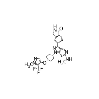 CNc1cc2c(cn1)c(-c1ccc3c(c1)CNC3=O)nn2[C@H]1CC[C@@H](Oc2cnn(C)c2C(F)(F)F)CC1